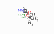 CC(C)(C)OC(=O)[C@@H]1CCNC1.Cl